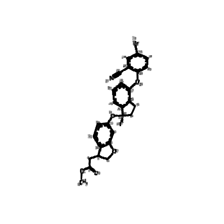 COC(=O)CC1COc2cc(O[C@@]3(F)CCc4c(Oc5ccc(Br)cc5C#N)cccc43)ccc21